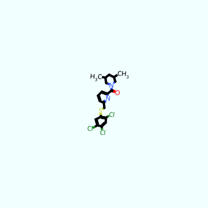 CC1CC(C)CN(C(=O)c2cccc(CSc3cc(Cl)c(Cl)cc3Cl)n2)C1